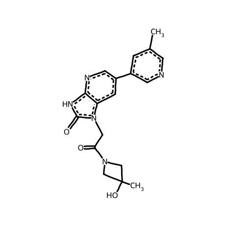 Cc1cncc(-c2cnc3[nH]c(=O)n(CC(=O)N4CC(C)(O)C4)c3c2)c1